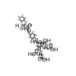 N[C@H](Cc1ccccc1)C(=O)NOCc1ccc(CNC(=O)CN(CCN(CC(=O)O)CC(=O)O)CCN(CC(=O)O)CC(=O)O)cc1